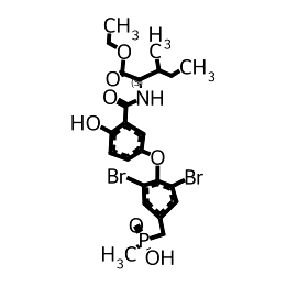 CCOC(=O)[C@@H](NC(=O)c1cc(Oc2c(Br)cc(CP(C)(=O)O)cc2Br)ccc1O)C(C)CC